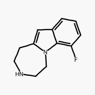 Fc1cccc2cc3n(c12)CCNCC3